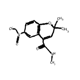 CNC(=O)C1=CC(C)(C)Oc2ccc([N+](=O)[O-])cc21